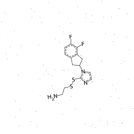 NCCSSc1nccn1C1Cc2ccc(F)c(F)c2C1